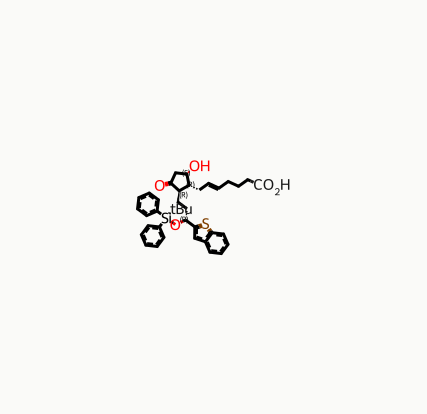 CC(C)(C)[Si](O[C@H](CC[C@H]1C(=O)C[C@H](O)[C@@H]1CC=CCCCC(=O)O)c1cc2ccccc2s1)(c1ccccc1)c1ccccc1